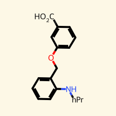 CCCNc1ccccc1COc1cccc(C(=O)O)c1